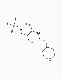 FC(F)(F)c1ccc2c(c1)CC[C@@H](CN1CCOCC1)N2